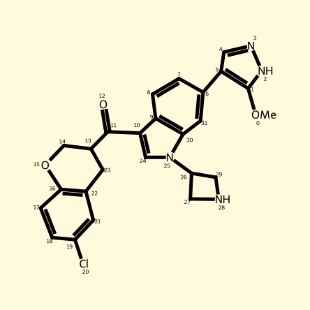 COc1[nH]ncc1-c1ccc2c(C(=O)C3COc4ccc(Cl)cc4C3)cn(C3CNC3)c2c1